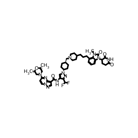 C[C@@H]1CN(c2ccn3ncc(C(=O)Nc4cn([C@H]5CC[C@H](CN6CCC(CCCc7cccc8c7n(C)c(=O)n8C7CCC(=O)NC7=O)CC6)CC5)nc4C(F)F)c3n2)C[C@@H](C)O1